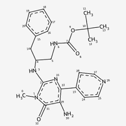 Cn1c(NC(CNC(=O)OC(C)(C)C)Cc2ccccc2)nc(-c2ccncc2)c(N)c1=O